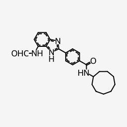 O=CNc1cccc2nc(-c3ccc(C(=O)NC4CCCCCCCC4)cc3)[nH]c12